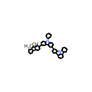 CC1(C)c2ccccc2-c2ccc(-c3ccc4c(c3)c3cc(-c5ccc6c7cccc8c9ccccc9n(c6c5)c87)ccc3n4-c3ccccc3)cc21